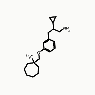 CC1(COc2cccc(CC(CN)C3CC3)c2)CCCCCC1